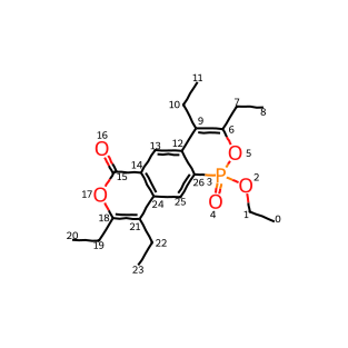 CCOP1(=O)OC(CC)=C(CC)c2cc3c(=O)oc(CC)c(CC)c3cc21